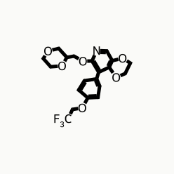 FC(F)(F)COc1ccc(-c2c(OCC3COCCO3)ncc3c2OCCO3)cc1